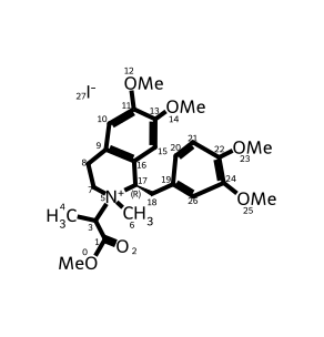 COC(=O)C(C)[N+]1(C)CCc2cc(OC)c(OC)cc2[C@H]1Cc1ccc(OC)c(OC)c1.[I-]